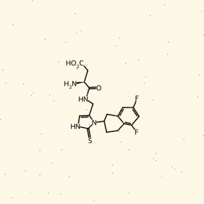 N[C@@H](CC(=O)O)C(=O)NCc1c[nH]c(=S)n1C1CCc2c(F)cc(F)cc2C1